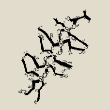 C=C(C)C(=O)O[Si](CCC)(CCC)O[Si](CCC)(CCC)O[Si](CCC)(CCC)O[Si](CCC)(CCC)O[Si](CCC)(CCC)CCC